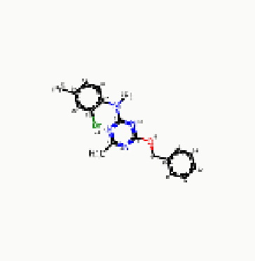 CCN(c1nc(C)nc(OCc2ccccc2)n1)c1ccc(C(C)C)cc1Br